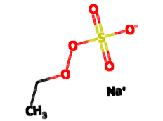 CCOOS(=O)(=O)[O-].[Na+]